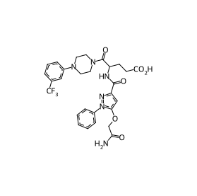 NC(=O)COc1cc(C(=O)NC(CCC(=O)O)C(=O)N2CCN(c3cccc(C(F)(F)F)c3)CC2)nn1-c1ccccc1